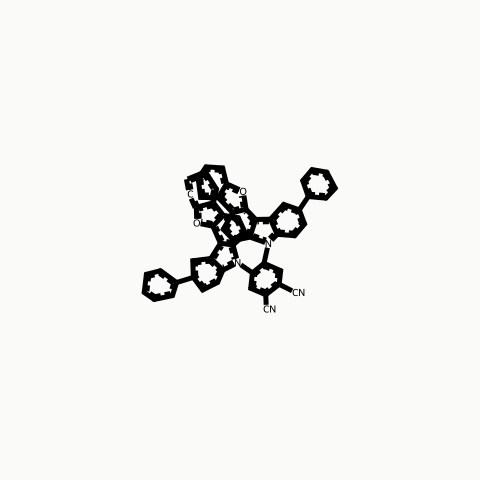 N#Cc1cc(-n2c3ccc(-c4ccccc4)cc3c3c4oc5ccccc5c4ccc32)c(-n2c3ccc(-c4ccccc4)cc3c3c4oc5ccccc5c4ccc32)cc1C#N